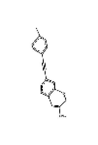 Cc1ccc(C#Cc2ccc3c(c2)OCC(C=O)=C3)cc1